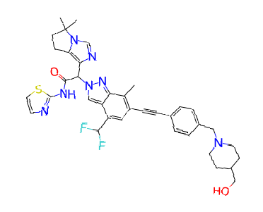 Cc1c(C#Cc2ccc(CN3CCC(CO)CC3)cc2)cc(C(F)F)c2cn(C(C(=O)Nc3nccs3)c3ncn4c3CCC4(C)C)nc12